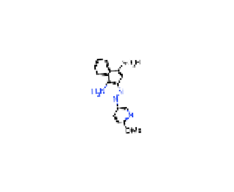 COc1ccc(N=Nc2cc(S(=O)(=O)O)c3ccccc3c2N)cn1